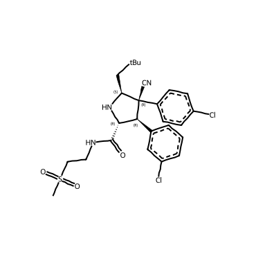 CC(C)(C)C[C@@H]1N[C@@H](C(=O)NCCS(C)(=O)=O)[C@H](c2cccc(Cl)c2)[C@@]1(C#N)c1ccc(Cl)cc1